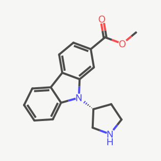 COC(=O)c1ccc2c3ccccc3n([C@@H]3CCNC3)c2c1